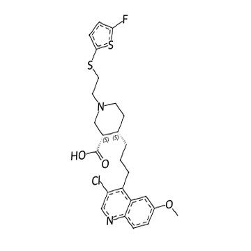 COc1ccc2ncc(Cl)c(CCC[C@H]3CCN(CCSc4ccc(F)s4)C[C@H]3C(=O)O)c2c1